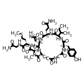 CCC(C)C1NC(=O)[C@H](Cc2ccc(O)cc2)NC(=O)CNC(=O)CC[C@@H](C(=O)N(C)CC(=O)N[C@@H](CCSC)C(=O)NCC(N)=O)NC(=O)[C@H](CC(N)=O)NC(=O)[C@H](CCC(N)=O)NC1=O